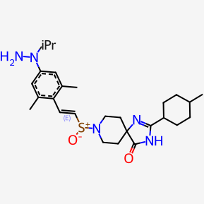 Cc1cc(N(N)C(C)C)cc(C)c1/C=C/[S+]([O-])N1CCC2(CC1)N=C(C1CCC(C)CC1)NC2=O